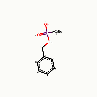 CC(C)COP(=O)(O)OCc1ccccc1